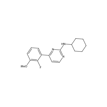 COc1cccc(-c2ccnc(NC3CCCCC3)n2)c1F